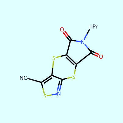 CCCn1c(=O)c2sc3nsc(C#N)c3sc=2c1=O